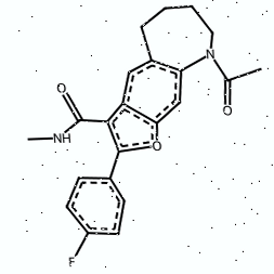 CNC(=O)c1c(-c2ccc(F)cc2)oc2cc3c(cc12)CCCCN3C(C)=O